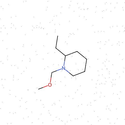 CCC1CCCCN1COC